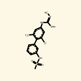 CS/C(=N/C#N)Nc1cc(Cl)c(-c2cccc(NS(C)(=O)=O)c2)c(C(F)(F)F)c1